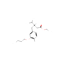 CCCCOc1cc(CC(C)(CC(=O)OCC)C(C)C)ccc1C